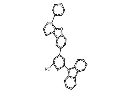 N#Cc1cc(-c2ccc3oc4c(-c5ccccc5)cccc4c3c2)cc(-n2c3ccccc3c3ccccc32)c1